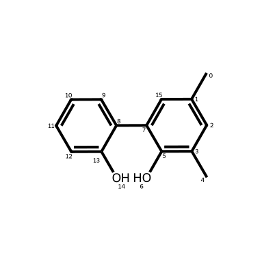 Cc1cc(C)c(O)c(-c2ccccc2O)c1